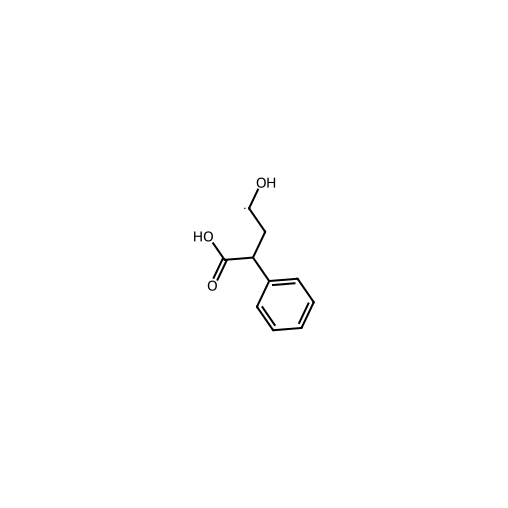 O=C(O)C(C[CH]O)c1ccccc1